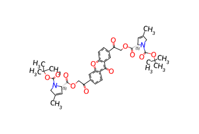 CC1=C[C@@H](C(=O)OCC(=O)c2ccc3c(=O)c4cc(C(=O)COC(=O)[C@@H]5C=C(C)CN5C(=O)OC(C)(C)C)ccc4oc3c2)N(C(=O)OC(C)(C)C)C1